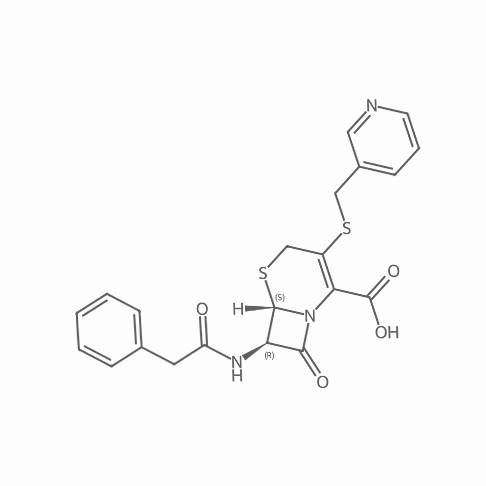 O=C(Cc1ccccc1)N[C@@H]1C(=O)N2C(C(=O)O)=C(SCc3cccnc3)CS[C@@H]12